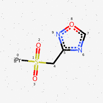 CC(C)S(=O)(=O)Cc1ncon1